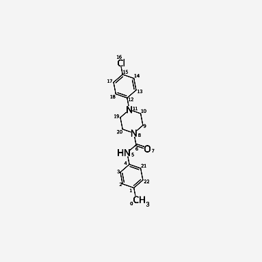 Cc1ccc(NC(=O)N2CCN(c3ccc(Cl)cc3)CC2)cc1